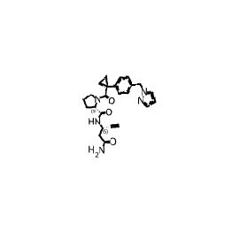 C#C[C@H](CC(N)=O)NC(=O)[C@@H]1CCCN1C(=O)C1(c2ccc(Cn3cccn3)cc2)CC1